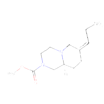 CC(C)(C)OC(=O)N1CCN2C/C(=C\C[N+](=O)[O-])CC[C@H]2C1